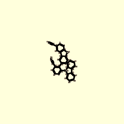 N#Cc1ccc2oc3ccc(-c4c(C#N)cccc4-n4c5ccccc5c5ccccc54)cc3c2c1